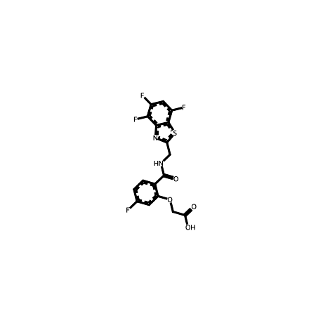 O=C(O)COc1cc(F)ccc1C(=O)NCc1nc2c(F)c(F)cc(F)c2s1